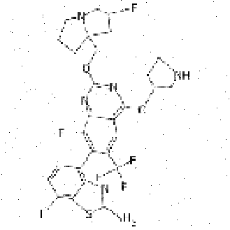 Nc1nc2c(-c3c(C(F)(F)F)cc4c(OC5CCNC5)nc(OCC56CCCN5CC(F)C6)nc4c3F)ccc(F)c2s1